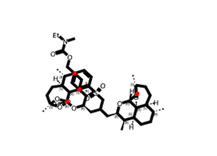 CCN(C)C(=O)OCc1ccc(S(=O)(=O)CC(C[C@H]2O[C@@H]3O[C@]4(C)CC[C@H]5[C@H](C)CC[C@@H]([C@H]2C)[C@@]35OO4)C[C@H]2O[C@@H]3O[C@]4(C)CC[C@H]5[C@H](C)CC[C@@H]([C@H]2C)[C@@]35OO4)cc1